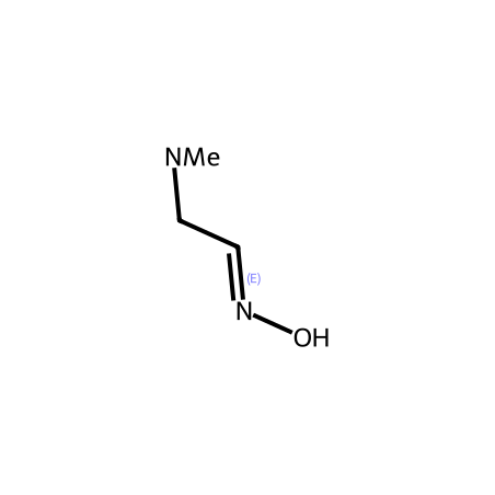 CNC/C=N/O